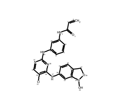 C=CC(=O)Nc1cccc(Nc2ncc(Cl)c(Nc3ccc4c(c3)N(O)OC4)n2)c1